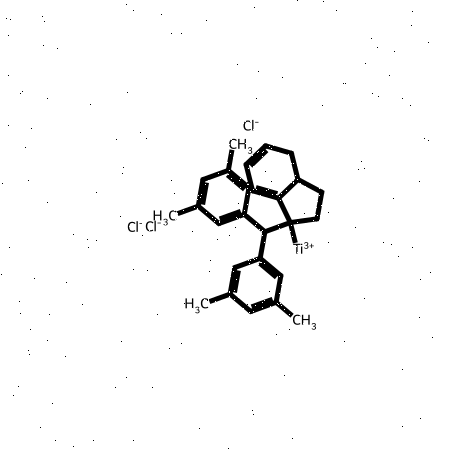 Cc1cc(C)cc(C(c2cc(C)cc(C)c2)[C]2([Ti+3])CCC3CC=CC=C32)c1.[Cl-].[Cl-].[Cl-]